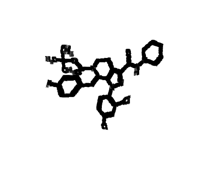 CC(C)(C)OC(=O)N1CCc2c(C(=O)NN3CCCCC3)nn(-c3ccc(Cl)cc3Cl)c2C1=Cc1ccc(F)cc1